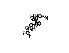 CN(C)CCc1ccc(Nc2nccc(-c3c(-c4cccc(NC(=O)c5cc(F)cc(F)c5)c4)nc4ccccn34)n2)cc1